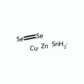 [Cu].[Se]=[Se].[SnH2].[Zn]